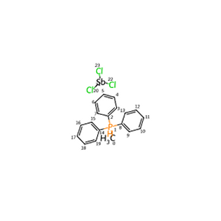 C[PH](c1ccccc1)(c1ccccc1)c1ccccc1.[Cl][Sb]([Cl])[Cl]